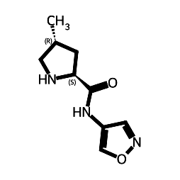 C[C@H]1CN[C@H](C(=O)Nc2cnoc2)C1